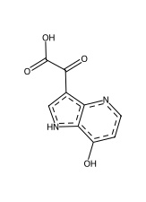 O=C(O)C(=O)c1c[nH]c2c(O)ccnc12